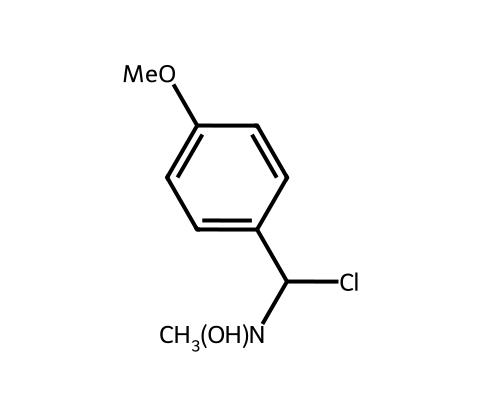 COc1ccc(C(Cl)N(C)O)cc1